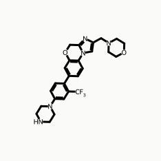 FC(F)(F)c1cc(N2CCNCC2)ccc1-c1ccc2c(c1)OCc1nc(CN3CCOCC3)cn1-2